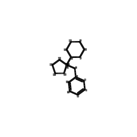 c1ccc(C[N+]2(C3CCCCC3)CCCC2)cc1